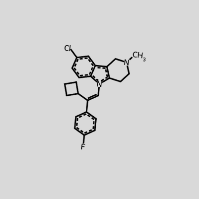 CN1CCc2c(c3cc(Cl)ccc3n2C=C(c2ccc(F)cc2)C2CCC2)C1